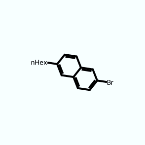 [CH2]CCCCCc1ccc2cc(Br)ccc2c1